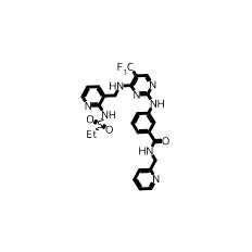 CCS(=O)(=O)Nc1ncccc1CNc1nc(Nc2cccc(C(=O)NCc3ccccn3)c2)ncc1C(F)(F)F